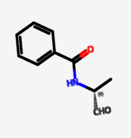 C[C@H](C=O)NC(=O)c1ccccc1